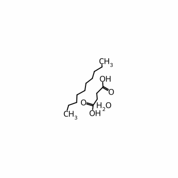 CCCCCCCCCC.O.O=C(O)CCC(=O)O